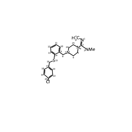 C/N=C(/NC)N1CCN(Cc2ccccc2SCc2ccc(Cl)cc2)CC1